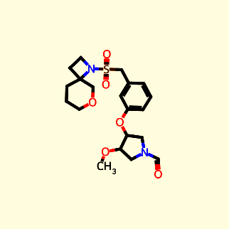 COC1CN(C=O)CC1Oc1cccc(CS(=O)(=O)N2CCC23CCCOC3)c1